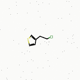 ClCCc1[c]scc1